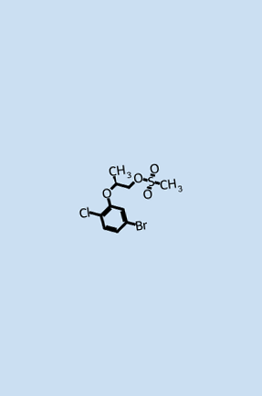 C[C@@H](COS(C)(=O)=O)Oc1cc(Br)ccc1Cl